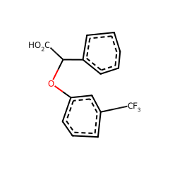 O=C(O)C(Oc1cccc(C(F)(F)F)c1)c1ccccc1